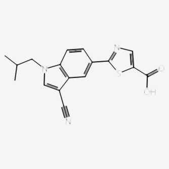 CC(C)Cn1cc(C#N)c2cc(-c3ncc(C(=O)O)s3)ccc21